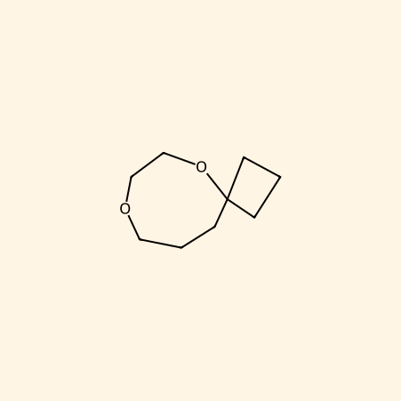 C1COCCOC2(C1)CCC2